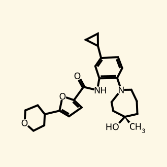 C[C@]1(O)CCCN(c2ccc(C3CC3)cc2NC(=O)c2ccc(C3CCOCC3)o2)CC1